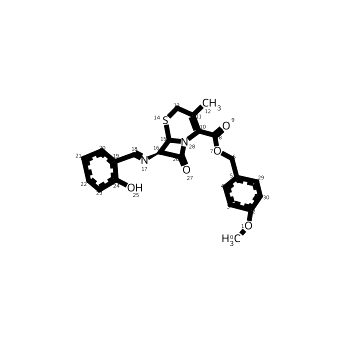 COc1ccc(COC(=O)C2=C(C)CSC3[C@H](N=Cc4ccccc4O)C(=O)N23)cc1